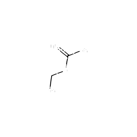 CCCCOC(=N)CCC